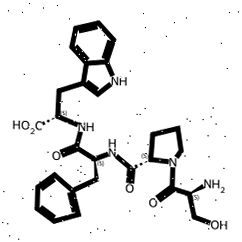 N[C@@H](CO)C(=O)N1CCC[C@H]1C(=O)N[C@@H](Cc1ccccc1)C(=O)N[C@@H](Cc1c[nH]c2ccccc12)C(=O)O